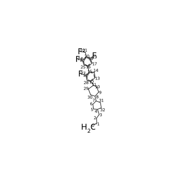 C=CCCC1CCC(C2CCC(c3ccc(-c4cc(F)c(CF)c(F)c4)c(F)c3)CC2)CC1